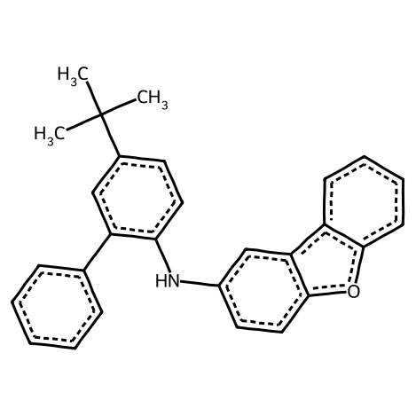 CC(C)(C)c1ccc(Nc2ccc3oc4ccccc4c3c2)c(-c2ccccc2)c1